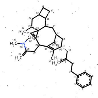 C=C(CCc1ccccc1)C[C@H]1CC2CC3C4CCC4CC(C)C34C=C4C(CC(=C)N(C)C)C(=C1C)C2CC